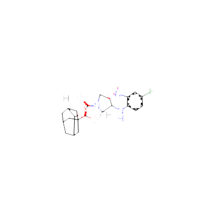 COC(=O)C12CC3CC(C1)C(OC(=O)N1CCC(Nc4ccc(F)cc4[N+](=O)[O-])C1)[C@@H](C3)C2